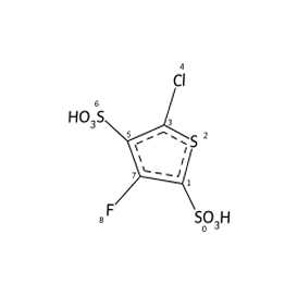 O=S(=O)(O)c1sc(Cl)c(S(=O)(=O)O)c1F